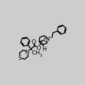 CC(C(=O)O[C@H]1C[N+]2(CCc3ccccc3)CCC1CC2)(c1ccccc1)N1CCSCC1